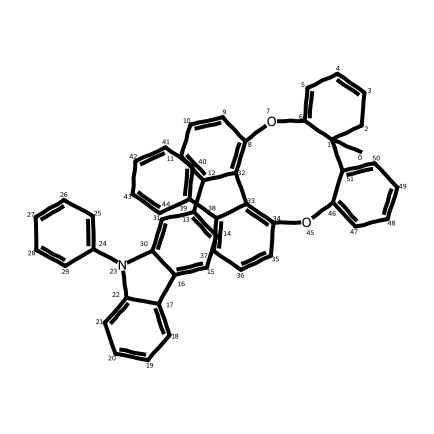 CC12CC=CC=C1Oc1cccc(-c3ccc4c5ccccc5n(-c5ccccc5)c4c3)c1-c1c(cccc1-c1ccccc1)Oc1ccccc12